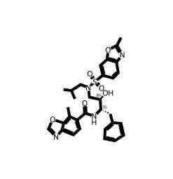 Cc1nc2ccc(S(=O)(=O)N(CC(C)C)C[C@@H](O)[C@H](Cc3ccccc3)NC(=O)c3ccc4ncoc4c3C)cc2o1